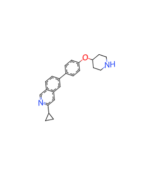 c1cc(-c2ccc3cnc(C4CC4)cc3c2)ccc1OC1CCNCC1